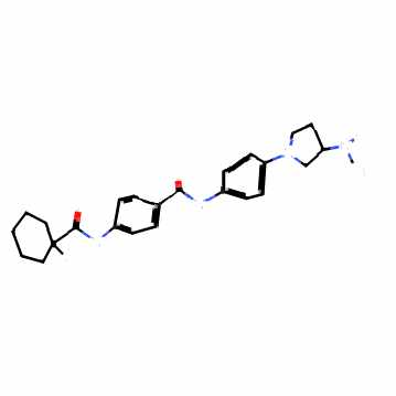 CN(C)C1CCN(c2ccc(NC(=O)c3ccc(NC(=O)C4(C)CCCCC4)cc3)cc2)C1